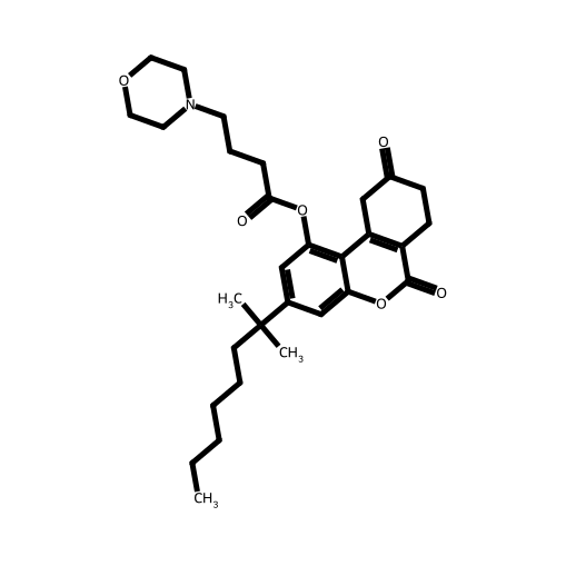 CCCCCCC(C)(C)c1cc(OC(=O)CCCN2CCOCC2)c2c3c(c(=O)oc2c1)CCC(=O)C3